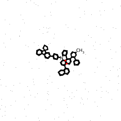 CC1C=CC(c2ccccc2-c2ccccc2N(c2ccc(-c3ccc4c(c3)C3(CCCC3)c3ccccc3-4)cc2)c2ccc(-c3cccc4ccccc34)cc2)=C(c2ccccc2)C1